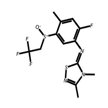 Cc1cc(F)c(/N=c2\snc(C)n2C)cc1[S+]([O-])CC(F)(F)F